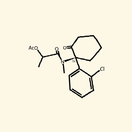 CC(=O)OC(C)C(=O)N(C)[C@]1(c2ccccc2Cl)CCCCC1=O